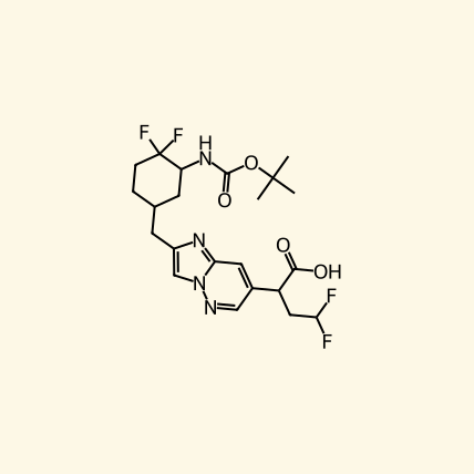 CC(C)(C)OC(=O)NC1CC(Cc2cn3ncc(C(CC(F)F)C(=O)O)cc3n2)CCC1(F)F